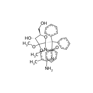 COC1(OC)[C@H](O)[C@@H](CO)O[C@]1(n1cc(C)c(N)nc1=O)C(c1ccccc1)(c1ccccc1)c1ccccc1